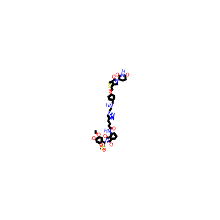 CCOc1cc([C@@H](CS(C)(=O)=O)N2C(=O)c3cccc(NC(=O)CCCc4cn(CCNCc5ccc(OCc6scc7c6CN(C6CCC(=O)NC6=O)C7=O)cc5)nn4)c3C2=O)ccc1OC